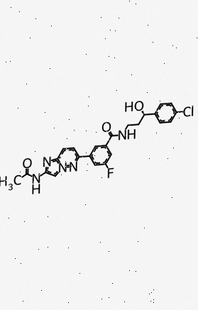 CC(=O)Nc1cn2nc(-c3cc(F)cc(C(=O)NCC[C@@H](O)c4ccc(Cl)cc4)c3)ccc2n1